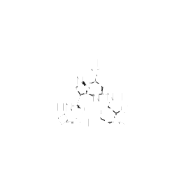 CNc1cc(Nc2cccn(C)c2=O)nc2c(C(=O)NC3CC[C@H]3O)cnn12